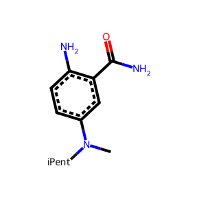 CCCC(C)N(C)c1ccc(N)c(C(N)=O)c1